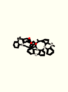 CC(C)c1cc2c3c(c1)C(C)c1ccc4c(c1)N(c1ccccc1[Si]4(C)C)c1cccc4c1B3c1c(cccc1N1c3ccccc3[Si](C)(C)c3ccc(cc31)C2C)O4